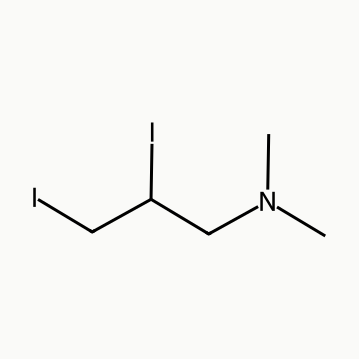 CN(C)CC(I)CI